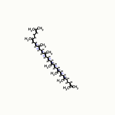 CC(C)=CCCC(C)=C/C=C/C(C)=C/C=C/C(C)=C/C=C/C=C(C)/C=C/C=C(C)/C=C/C=C(\C)CCC=C(C)C